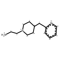 NCCN1CCC(Cc2ccccn2)CC1